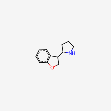 c1ccc2c(c1)OCC2C1CCCN1